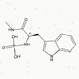 CNC(=O)[C@@H](Cc1c[nH]c2ccccc12)NP(=O)(O)O